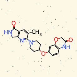 Cc1cc2c(nc1N1CCC(Oc3ccc4c(c3)OCC(=O)N4)CC1)CNC2=O